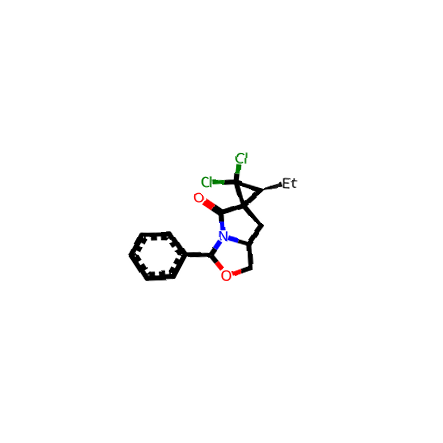 CC[C@@H]1C(Cl)(Cl)C12CC1COC(c3ccccc3)N1C2=O